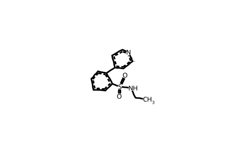 CCNS(=O)(=O)c1ccccc1-c1c[c]ncc1